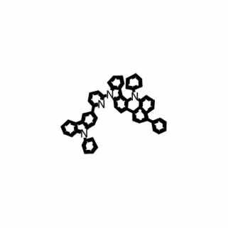 c1ccc(-c2ccc3c4c(cccc24)N(c2ccccc2)c2c-3ccc3c2c2ccccc2n3-c2cccc(-c3ccc4c(c3)c3ccccc3n4-c3ccccc3)n2)cc1